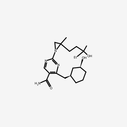 CCC(C)(O)CCC1(C)CN1c1ncc(C(N)=O)c(C[C@@H]2CCC[C@H](O)C2)n1